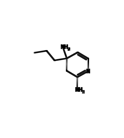 CCCC1(N)C=CN=C(N)C1